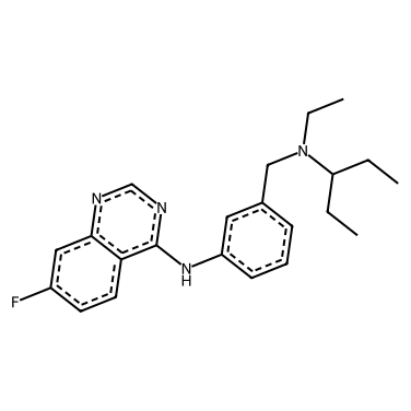 CCC(CC)N(CC)Cc1cccc(Nc2ncnc3cc(F)ccc23)c1